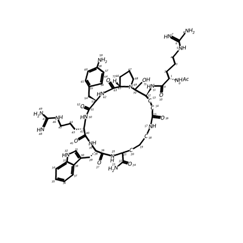 CC(=O)N[C@@H](CCCNC(=N)N)C(=O)N[C@H]1CCC(=O)NCCCC(C(N)=O)NC(=O)[C@H](Cc2c[nH]c3ccccc23)NC(=O)[C@H](CCCNC(=N)N)NC(=O)[C@@H](Cc2ccc(N)cc2)NC(=O)[C@@H]2CCCN2C1O